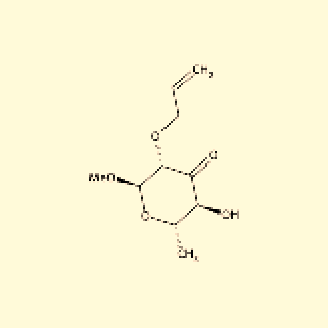 C=CCO[C@@H]1C(=O)[C@@H](O)[C@H](C)O[C@H]1OC